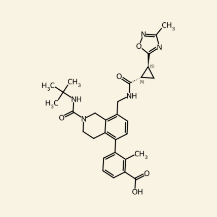 Cc1noc([C@H]2C[C@@H]2C(=O)NCc2ccc(-c3cccc(C(=O)O)c3C)c3c2CN(C(=O)NC(C)(C)C)CC3)n1